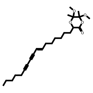 CCCCCC#CC#CC=CCCCCCCC1OC(C)(OC)C(C)(OC)OC1=O